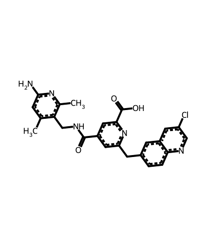 Cc1cc(N)nc(C)c1CNC(=O)c1cc(Cc2ccc3ncc(Cl)cc3c2)nc(C(=O)O)c1